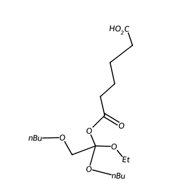 CCCCOCC(OCC)(OCCCC)OC(=O)CCCCC(=O)O